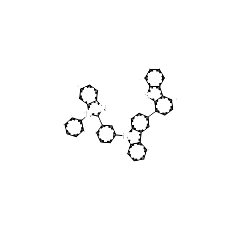 c1ccc(-n2c(-c3cccc(-n4c5ccccc5c5cc(-c6cccc7c6sc6ccccc67)ccc54)c3)nc3ccccc32)cc1